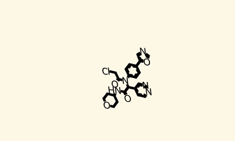 O=C(NC1CCOCC1)C(c1ccnnc1)N(C(=O)CCl)c1ccc(-c2cnco2)cc1